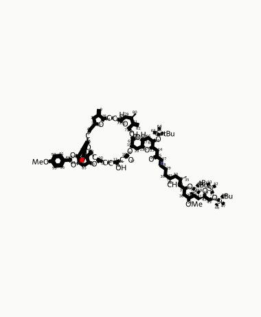 C=C1CC2CC[C@@]34OC5CC(CCC(O)CC(=O)OC6CC7OC(CC(=O)/C=C/CC[C@@H](C=O)C[C@H](C)CC(CC(CC[C@H](CO[Si](C)(C)C(C)(C)C)O[Si](C)(C)C(C)(C)C)OC)O[Si](C)(C)C(C)(C)C)C(O[Si](C)(C)C(C)(C)C)C[C@@H]7O[C@H]6CC6O[C@@H](CCC1O2)C[C@@H](C)C6=C)OC1C(O3)[C@]2(OC(c3ccc(OC)cc3)OC42)O[C@H]51